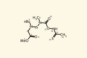 CCCCN(CC(=O)OC)SN(C)C(=O)ONC(C)=S